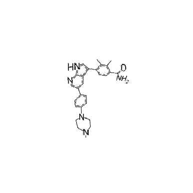 Cc1c(C(N)=O)ccc(-c2c[nH]c3ncc(-c4ccc(N5CCN(C)CC5)cc4)cc23)c1C